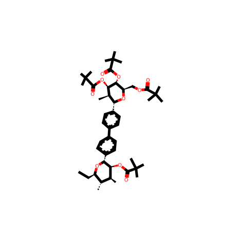 CC[C@H]1O[C@H](c2ccc(-c3ccc([C@H]4O[C@H](COC(=O)C(C)(C)C)[C@@H](OC(=O)C(C)(C)C)[C@H](OC(=O)C(C)(C)C)[C@@H]4C)cc3)cc2)[C@@H](OC(=O)C(C)(C)C)[C@@H](C)[C@@H]1C